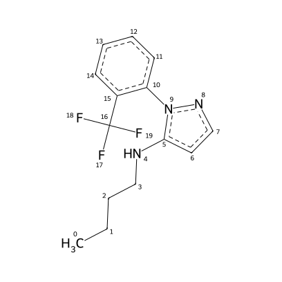 CCCCNc1ccnn1-c1ccccc1C(F)(F)F